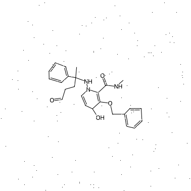 CNC(=O)C1=C(OCc2ccccc2)C(O)C=CN1NC(C)(CCC=O)c1ccccc1